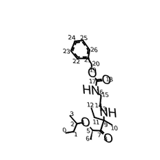 CCC(C)O[C@H](C)C(=O)C(C)(CC)NCCNC(=O)OCc1ccccc1